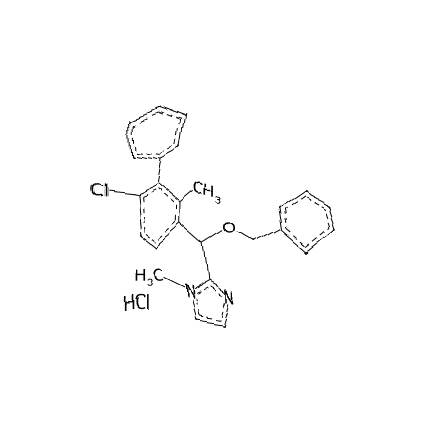 Cc1c(C(OCc2ccccc2)c2nccn2C)ccc(Cl)c1-c1ccccc1.Cl